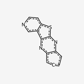 c1ccc2nc3c(nc2c1)sc1ccncc13